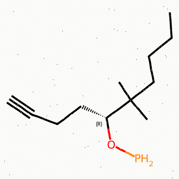 C#CCC[C@@H](OP)C(C)(C)CCCC